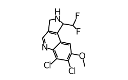 COc1cc2c3c(cnc2c(Cl)c1Cl)CNC3C(F)F